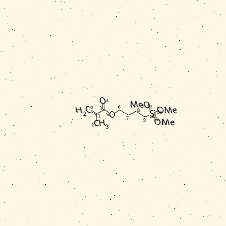 C=C(C)C(=O)OCCCC[Si](OC)(OC)OC